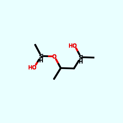 CC(C[SiH](C)O)O[SiH](C)O